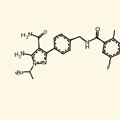 Cc1ccc(F)cc1C(=O)NCc1ccc(-c2nn(C(C)C(C)(C)C)c(N)c2C(N)=O)cc1